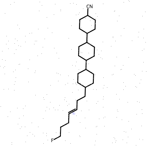 N#CC1CCC(C2CCC(C3CCC(CC/C=C/CCCF)CC3)CC2)CC1